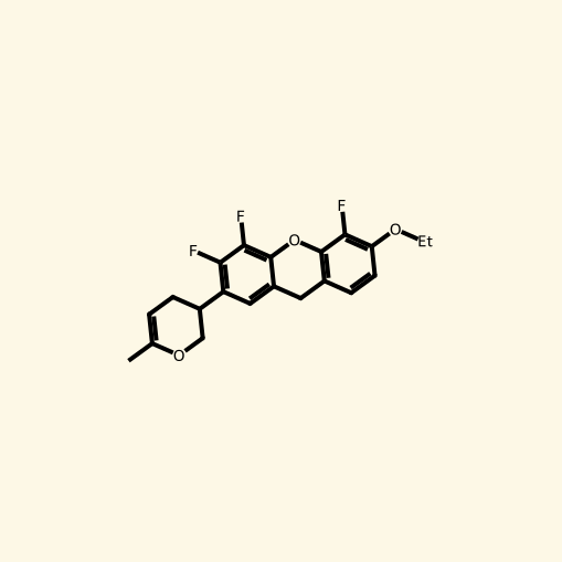 CCOc1ccc2c(c1F)Oc1c(cc(C3CC=C(C)OC3)c(F)c1F)C2